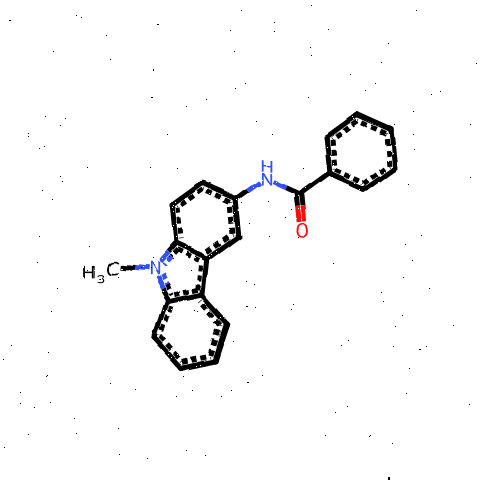 Cn1c2ccccc2c2cc(NC(=O)c3ccccc3)ccc21